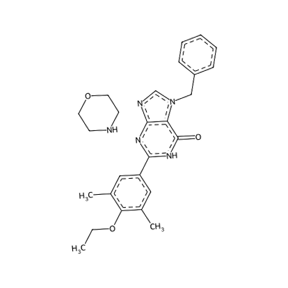 C1COCCN1.CCOc1c(C)cc(-c2nc3ncn(Cc4ccccc4)c3c(=O)[nH]2)cc1C